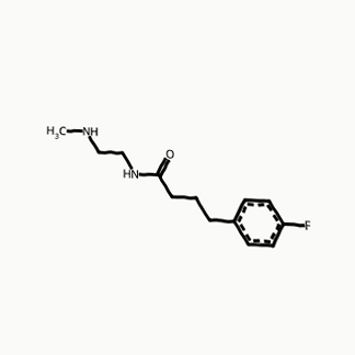 CNCCNC(=O)CCCc1ccc(F)cc1